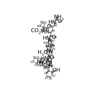 C[C@@H]1CNCCN1CCOc1cc(N2C3CCC2CN(c2cc(-c4ccccc4O)nnc2NC(=O)OCc2ccc(NC(=O)C(CCCNC(N)=O)NC(=O)C4(C(=O)O)CCC4)cc2)C3)ccn1